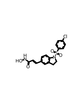 O=C(/C=C/c1ccc2c(c1)CCN2S(=O)(=O)c1ccc(Cl)cc1)NO